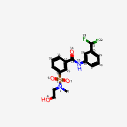 CN(CCO)S(=O)(=O)c1cccc(C(=O)Nc2cccc(C(F)F)c2)c1